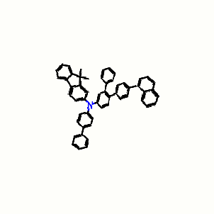 CC1(C)c2ccccc2-c2ccc(N(c3ccc(-c4ccccc4)cc3)c3ccc(-c4ccc(-c5cccc6ccccc56)cc4)c(-c4ccccc4)c3)cc21